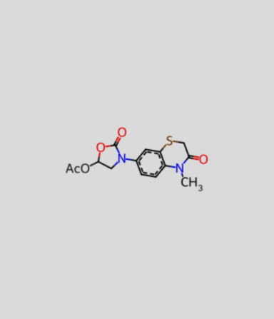 CC(=O)OC1CN(c2ccc3c(c2)SCC(=O)N3C)C(=O)O1